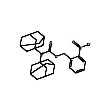 O=C(OCc1ccccc1[N+](=O)[O-])N(C12CC3CC(CC(C3)C1)C2)C12CC3CC(CC(C3)C1)C2